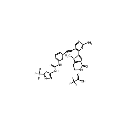 Cn1c(-c2nc(N)ncc2C#Cc2cccc(NC(=O)Nc3nnc(C(F)(F)F)s3)c2)cc2c1CCNC2=O.O=C(O)C(F)(F)F